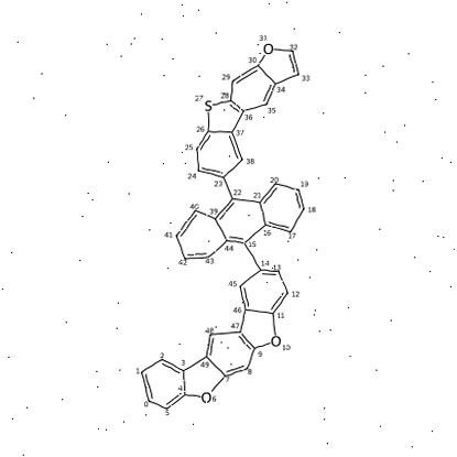 c1ccc2c(c1)oc1cc3oc4ccc(-c5c6ccccc6c(-c6ccc7sc8cc9occc9cc8c7c6)c6ccccc56)cc4c3cc12